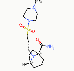 CN1CCN(S(=O)(=O)CCCN2[C@@H]3C[CH]C[C@@]2(C(N)=O)CC3)CC1